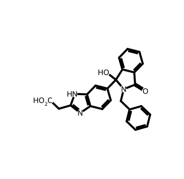 O=C(O)Cc1nc2ccc(C3(O)c4ccccc4C(=O)N3Cc3ccccc3)cc2[nH]1